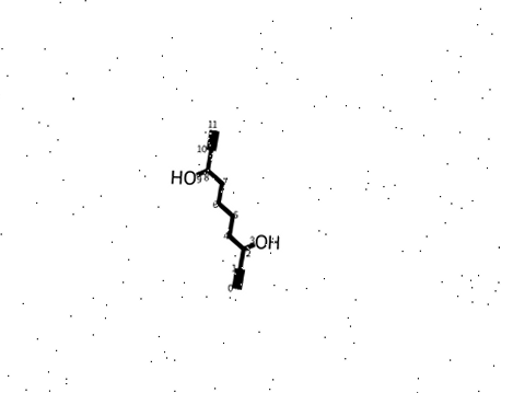 C#CC(O)CCCCC(O)C#C